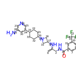 C=C(CNC(=O)c1cccc(C(F)(F)F)c1)NC1CN(C2CCC(c3cncc(N)c3)CC2)C1